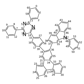 c1ccc(-c2nc(-c3ccccc3)nc(-c3ccc(-c4cc5c6ccccc6c6ccccc6c5cc4-c4ccc5c6ccccc6n(-c6ccccc6)c5c4)cc3)n2)cc1